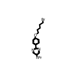 CCCc1cnc(-c2ccc(OCCCCCBr)cc2)nc1